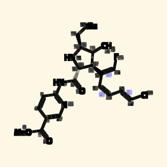 COC(=O)c1ccc(NC(=O)[C@@H]2N[C@@H](CC(C)(C)C)C(C)[C@H]2C(/C=C\C=C\Cl)=C\F)nc1